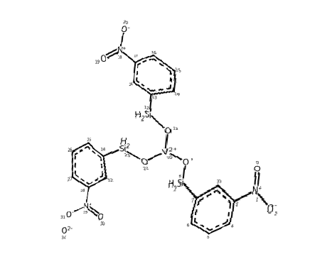 O=[N+]([O-])c1cccc([SiH2][O][V+2]([O][SiH2]c2cccc([N+](=O)[O-])c2)[O][SiH2]c2cccc([N+](=O)[O-])c2)c1.[O-2]